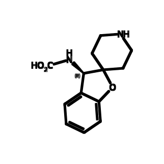 O=C(O)N[C@@H]1c2ccccc2OC12CCNCC2